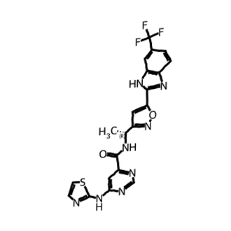 C[C@@H](NC(=O)c1cc(Nc2nccs2)ncn1)c1cc(-c2nc3ccc(C(F)(F)F)cc3[nH]2)on1